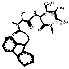 CC[C@H](C)[C@@H]([C@@H](CC(=O)O)OC)N(C)C(=O)C(NC(=O)[C@H](C(C)C)N(C)C(=O)OCC1c2ccccc2-c2ccccc21)C(C)C